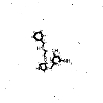 Cc1cc(N)nc(C[C@H]2CNC[C@H]2NCCNCc2ccccc2)c1